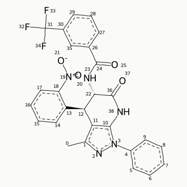 Cc1nn(-c2ccccc2)c2c1[C@@H](c1ccccc1[N+](=O)[O-])[C@H](NC(=O)c1cccc(C(F)(F)F)c1)C(=O)N2